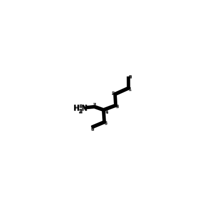 CCCC[C](CC)CN